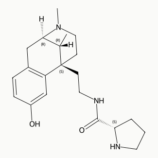 C[C@H]1[C@H]2Cc3ccc(O)cc3[C@@]1(CCNC(=O)[C@@H]1CCCN1)CCN2C